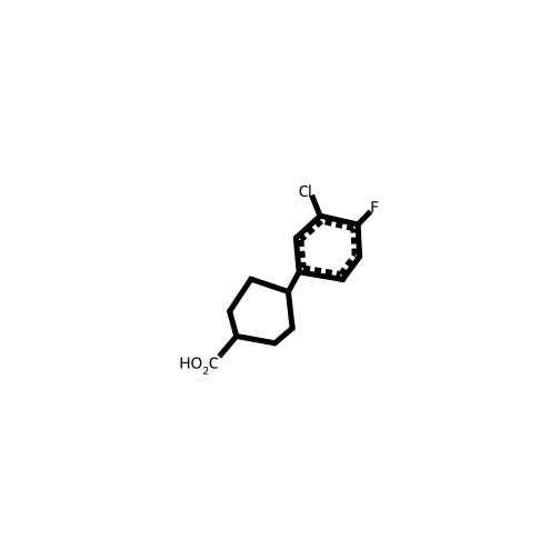 O=C(O)C1CCC(c2ccc(F)c(Cl)c2)CC1